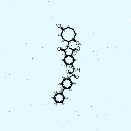 O=C1CCCC(=O)C(N2C(=O)c3ccc(NS(=O)(=O)c4ccc(-c5ccccc5)cc4)cc3C2=O)CC1